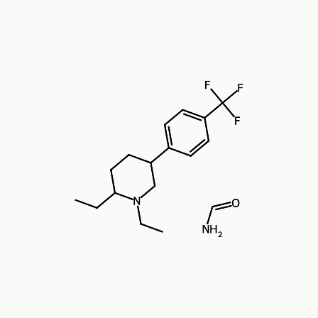 CCC1CCC(c2ccc(C(F)(F)F)cc2)CN1CC.NC=O